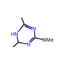 CNC1=NC(C)NC(C)=N1